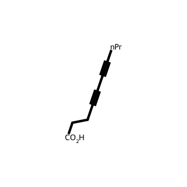 CCCC#CC#CCCC(=O)O